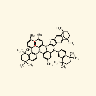 Cc1cc2c3c(c1)N(c1ccc4c(c1)C(C)(C)CCC4(C)C)c1c(sc4cc5c(cc14)C1(C)CCC5(C)CC1)B3c1cc(C(C)(C)C)ccc1N2c1ccc2c(c1-c1ccc(C(C)(C)C)cc1)C(C)(C)CCC2(C)C